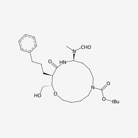 CN(C=O)[C@H]1CCCN(C(=O)OC(C)(C)C)CCCCO[C@H](CO)[C@@H](CCCc2ccccc2)C(=O)N1